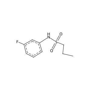 CCCS(=O)(=O)Nc1cccc(F)c1